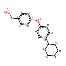 OCc1ccc(Oc2ccc(C3CCCCC3)cc2)cc1